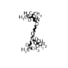 COC(=O)C(c1cc(OCCCCOCCN(CCC(=O)N(C)C)C(=O)OC(C)(C)C)no1)C(C)C